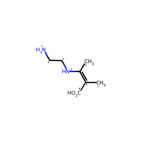 CC(NCCN)=C(C)C(=O)O